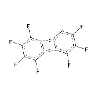 Fc1cc2c(c(F)c1F)=c1c(F)c(F)c(F)c(F)c1=2